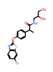 CC(C(=O)NCC(O)CO)c1ccc(Oc2nc3ccc(Cl)cc3s2)cc1